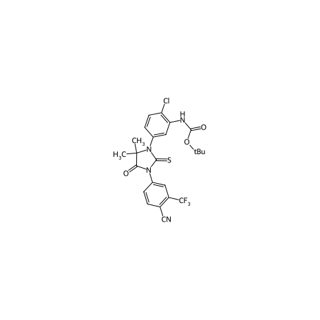 CC(C)(C)OC(=O)Nc1cc(N2C(=S)N(c3ccc(C#N)c(C(F)(F)F)c3)C(=O)C2(C)C)ccc1Cl